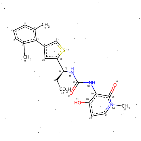 Cc1cccc(C)c1-c1csc([C@H](CC(=O)O)NC(=O)Nc2c(O)ccn(C)c2=O)c1